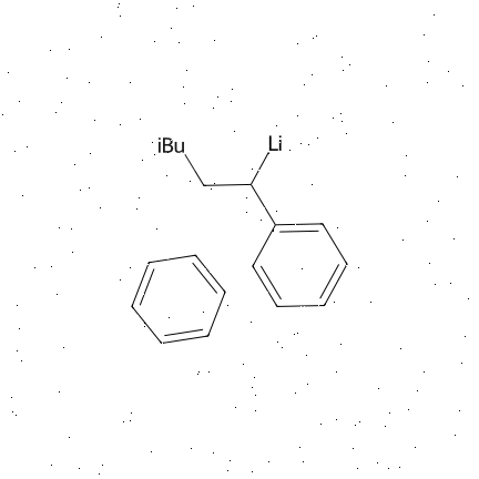 [Li][CH](CC(C)CC)c1ccccc1.c1ccccc1